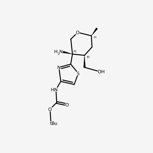 C[C@H]1C[C@@H](CO)[C@](N)(c2nc(NC(=O)OC(C)(C)C)cs2)CO1